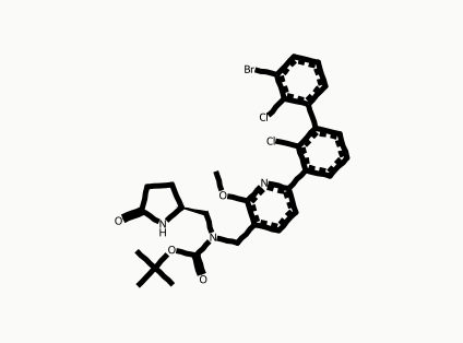 COc1nc(-c2cccc(-c3cccc(Br)c3Cl)c2Cl)ccc1CN(C[C@@H]1CCC(=O)N1)C(=O)OC(C)(C)C